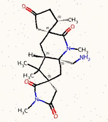 C[C@H]1CC(=O)C[C@]12C[C@H]1C(C)(C)[C@@]3(CC(=O)N(C)C3=O)C[C@]1(CN)N(C)C2=O